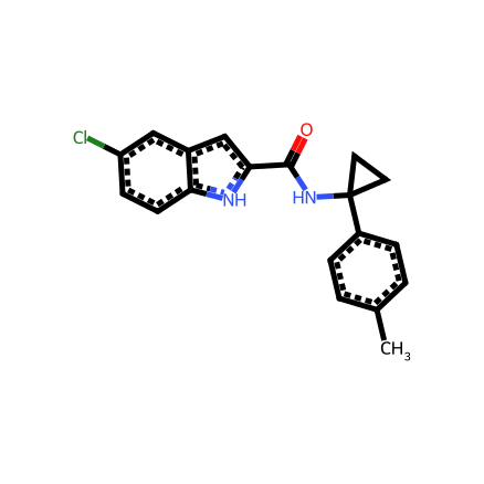 Cc1ccc(C2(NC(=O)c3cc4cc(Cl)ccc4[nH]3)CC2)cc1